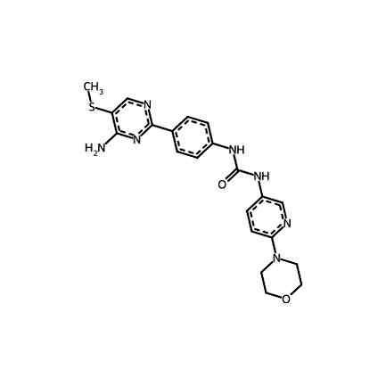 CSc1cnc(-c2ccc(NC(=O)Nc3ccc(N4CCOCC4)nc3)cc2)nc1N